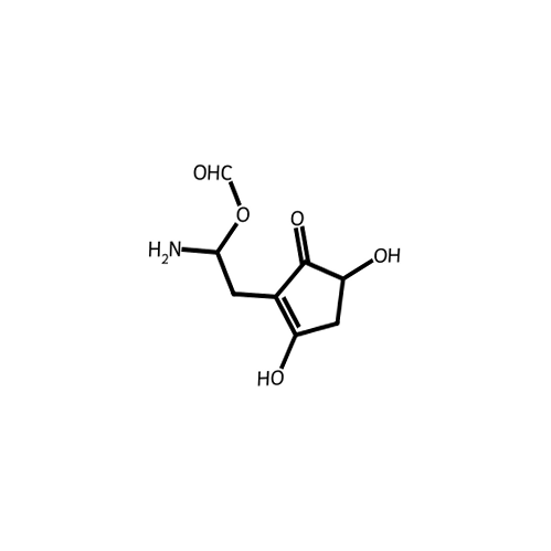 NC(CC1=C(O)CC(O)C1=O)OC=O